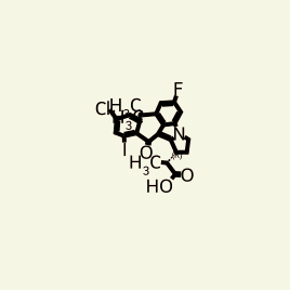 CC(C)c1cc(F)cc2c1c(C(=O)c1ccc(Cl)cc1I)c1n2CC[C@@H]1C(C)C(=O)O